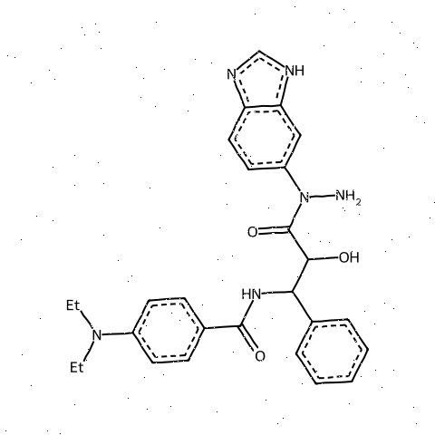 CCN(CC)c1ccc(C(=O)NC(c2ccccc2)C(O)C(=O)N(N)c2ccc3nc[nH]c3c2)cc1